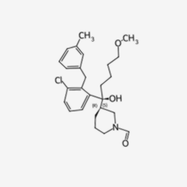 COCCCC[C@@](O)(c1cccc(Cl)c1Cc1cccc(C)c1)[C@@H]1CCCN(C=O)C1